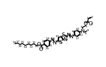 C=CC(=O)OCCN(CC)c1ccc(N=Nc2nc3sc(N=Nc4ccc(C(=O)OCCCCCCCCC)cc4)cc3s2)cc1